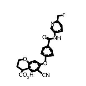 N#Cc1cc2c(cc1Oc1ccc(C(=O)Nc3ccc(CF)nc3)cc1)OCCC2C(=O)O